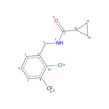 O=C(NCc1cccc(C(F)(F)F)c1Cl)C1CC1